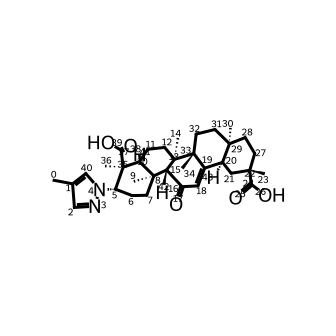 Cc1cnn([C@H]2CC[C@@]3(C)[C@@H](CC[C@]4(C)[C@@H]3C(=O)C=C3[C@@H]5C[C@@](C)(C(=O)O)CC[C@]5(C)CC[C@]34C)[C@]2(C)C(=O)O)c1